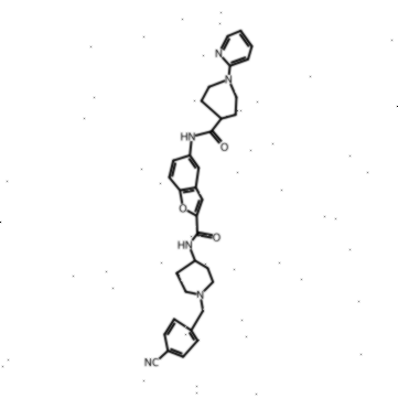 N#Cc1ccc(CN2CCC(NC(=O)c3cc4cc(NC(=O)C5CCN(c6ccccn6)CC5)ccc4o3)CC2)cc1